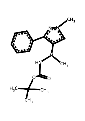 CN(NC(=O)OC(C)(C)C)c1cn(C)nc1-c1ccccc1